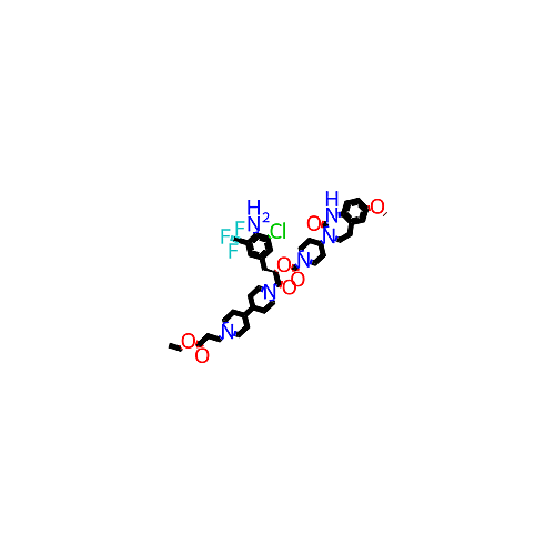 CCOC(=O)CCN1CCC(C2CCN(C(=O)[C@@H](Cc3cc(Cl)c(N)c(C(F)(F)F)c3)OC(=O)N3CCC(N4CCc5cc(OC)ccc5NC4=O)CC3)CC2)CC1